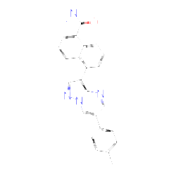 Cc1ccc(-c2cnc3c(-c4cccc5c(C(N)=O)cccc45)cnn3c2)cc1